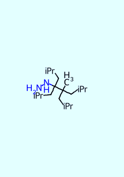 CC(C)CC(C)(CC(C)C)C(CC(C)C)(CC(C)C)NN